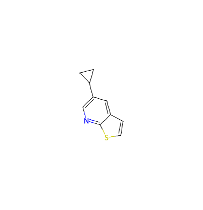 c1cc2cc(C3CC3)cnc2s1